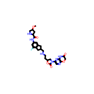 COC1CNC(C(=O)Nc2cc(F)c3c(c2)CC(CNCCC2CN(c4cnc5c(n4)NC(=O)CO5)C(=O)O2)C3)C1